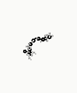 CC(=O)c1c(C)c2cnc(Nc3ccc(N4CCC(CN5CC6CCC5CN6c5cc6c(cc5F)C(=O)N(C5CCC(=O)NC5=O)C6=O)CC4)cn3)nc2n(C2CCCC2)c1=O